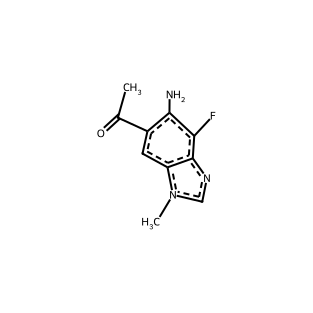 CC(=O)c1cc2c(ncn2C)c(F)c1N